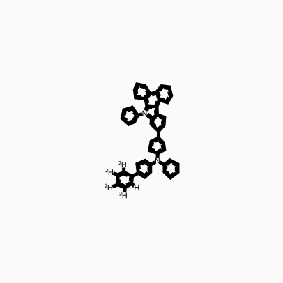 [2H]c1c([2H])c([2H])c(-c2ccc(N(c3ccccc3)c3ccc(-c4ccc5c6c7ccccc7c7ccccc7c6n(-c6ccccc6)c5c4)cc3)cc2)c([2H])c1[2H]